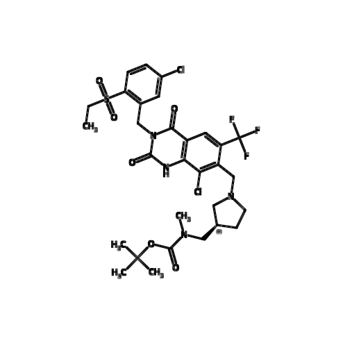 CCS(=O)(=O)c1ccc(Cl)cc1Cn1c(=O)[nH]c2c(Cl)c(CN3CC[C@@H](CN(C)C(=O)OC(C)(C)C)C3)c(C(F)(F)F)cc2c1=O